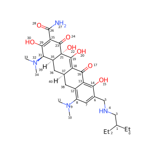 CCC(CC)CNCc1cc(N(C)C)c2c(c1O)C(=O)C1=C(O)[C@]3(O)C(=O)C(C(N)=O)=C(O)[C@H](N(C)C)[C@@H]3C[C@@H]1C2